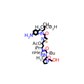 CCCCCCN(C(=O)[C@@H](NC(=O)[C@@]1(C)CCCN1CCO)[C@@H](C)CC)[C@H](C[C@@H](OC(C)=O)c1nc(C(=O)N[C@@H](Cc2ccc(N)cc2)CC(C)(C)C(=O)O)cs1)C(C)C